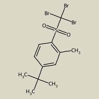 Cc1cc(C(C)(C)C)ccc1S(=O)(=O)C(Br)(Br)Br